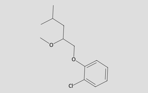 COC(COc1ccccc1Cl)CC(C)C